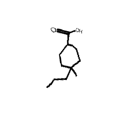 CCCC1(C)CCC(C(=O)O)CC1